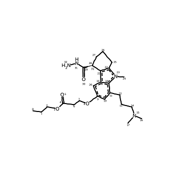 CCCOC(=O)CCOc1cc(CCCN(C)C)c2c(c1)c1c(n2C)CCC[C@@H]1C(=O)NN